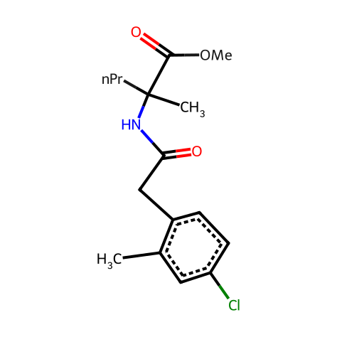 CCCC(C)(NC(=O)Cc1ccc(Cl)cc1C)C(=O)OC